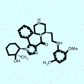 COc1ccc(C)cc1NCC[C@@H]1CNCCN1C(=O)c1ncn([C@@H]2CCCC[C@]2(C)O)c1-c1ccccc1